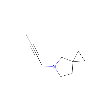 CC#CCN1CCC2(CC2)C1